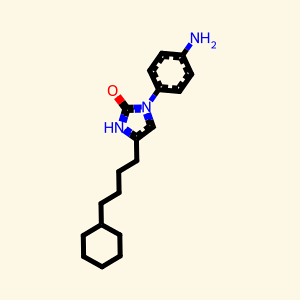 Nc1ccc(-n2cc(CCCCC3CCCCC3)[nH]c2=O)cc1